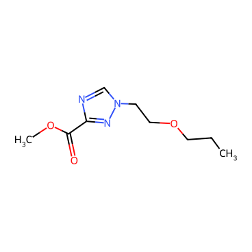 CCCOCCn1cnc(C(=O)OC)n1